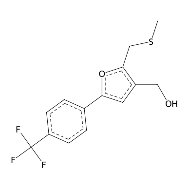 CSCc1oc(-c2ccc(C(F)(F)F)cc2)cc1CO